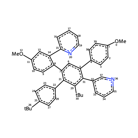 COc1ccc(-c2[c]c(-c3ccc(OC)cc3-c3ccccn3)c(-c3ccc(C(C)(C)C)cc3)c(C(C)(C)C)c2-c2cccnc2)cc1